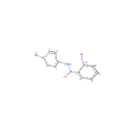 O=C(Nc1ccc(Br)cc1)c1ccccc1I